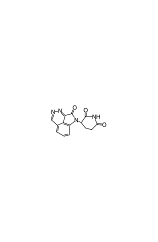 O=C1CCC(N2C(=O)c3nncc4cccc2c34)C(=O)N1